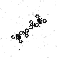 C1=CC(c2ccc3c(c2)c2ccccc2n3-c2cccc(-c3nc(-c4ccccc4)nc(-c4ccccc4)n3)c2)Cc2c1n(-c1cccc(-c3nc(-c4ccccc4)nc(-c4ccccc4)n3)c1)c1ccccc21